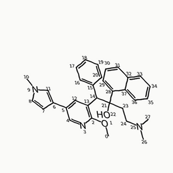 COc1ncc(-c2ccn(C)c2)cc1C(c1ccccc1)C(O)(CCN(C)C)c1cccc2ccccc12